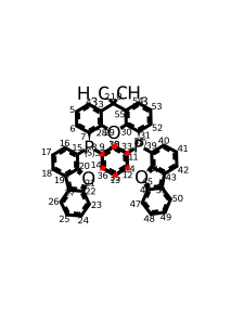 CC1(C)c2cccc([P@@](c3ccccc3)c3cccc4c3oc3ccccc34)c2Oc2c([P@@](c3ccccc3)c3cccc4c3oc3ccccc34)cccc21